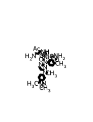 CC(=O)[C@H](CCN)NS(=O)(=O)NC(=O)N(c1ccc(C)c(S(N)(=O)=O)c1)c1nccc(N(C)c2ccc3c(C)n(C)nc3c2)n1